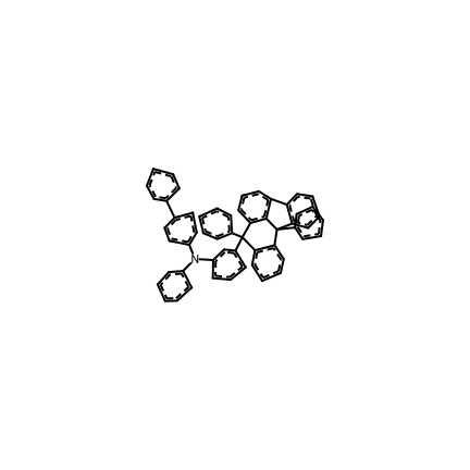 c1ccc(-c2ccc(N(c3ccccc3)c3cccc(C4(c5ccccc5)c5ccccc5C5(c6ccccc6)c6ccccc6-c6cccc4c65)c3)cc2)cc1